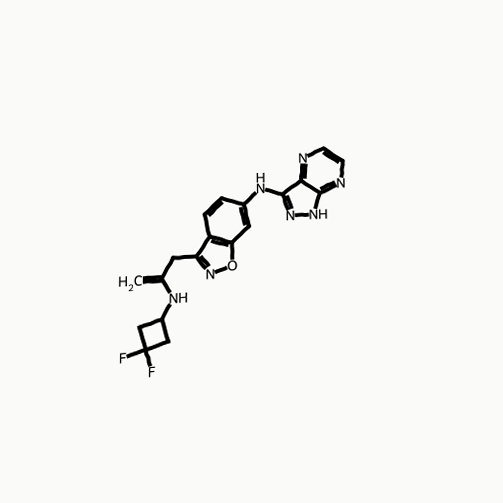 C=C(Cc1noc2cc(Nc3n[nH]c4nccnc34)ccc12)NC1CC(F)(F)C1